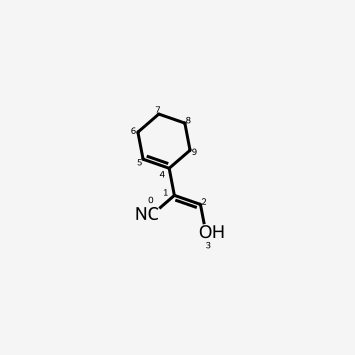 N#CC(=CO)C1=CCCCC1